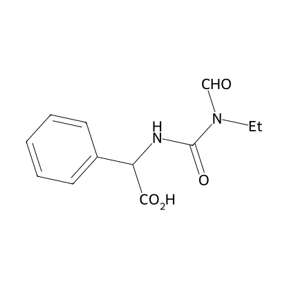 CCN(C=O)C(=O)NC(C(=O)O)c1ccccc1